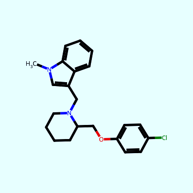 Cn1cc(CN2CCCCC2COc2ccc(Cl)cc2)c2ccccc21